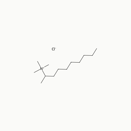 CCCCCCCCC(C)[N+](C)(C)C.[Cl-]